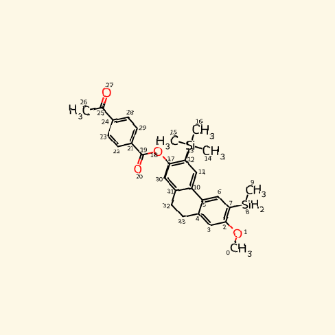 COc1cc2c(cc1[SiH2]C)-c1cc([Si](C)(C)C)c(OC(=O)c3ccc(C(C)=O)cc3)cc1CC2